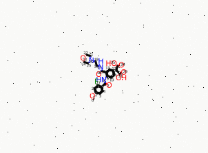 COc1ccc(C(=O)Nc2ccccc2C(=O)NCCN2CCOCC2)c(F)c1.O=C(O)CC(=O)O